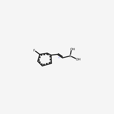 OB(O)/C=C/c1cccc(F)c1